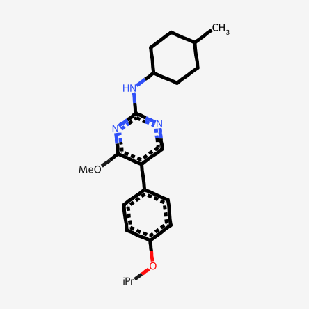 COc1nc(NC2CCC(C)CC2)ncc1-c1ccc(OC(C)C)cc1